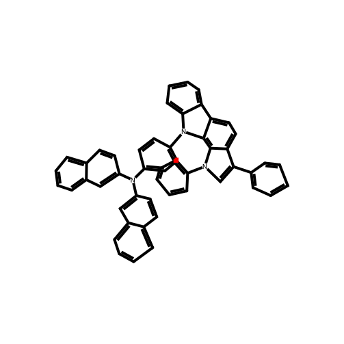 c1ccc(-c2cn(-c3ccccc3)c3c2ccc2c4ccccc4n(-c4ccc(N(c5ccc6ccccc6c5)c5ccc6ccccc6c5)cc4)c23)cc1